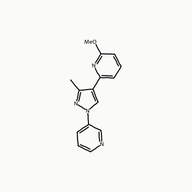 COc1cccc(-c2cn(-c3cccnc3)nc2C)n1